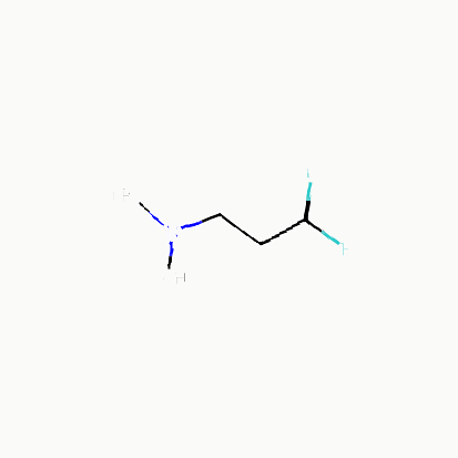 CCCN(C)CCC(F)F